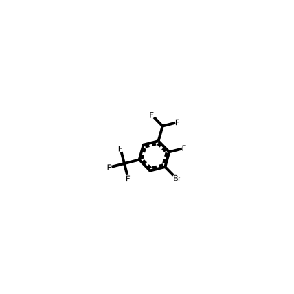 Fc1c(Br)cc(C(F)(F)F)cc1C(F)F